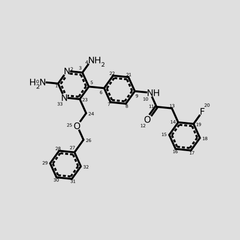 Nc1nc(N)c(-c2ccc(NC(=O)Cc3ccccc3F)cc2)c(COCc2ccccc2)n1